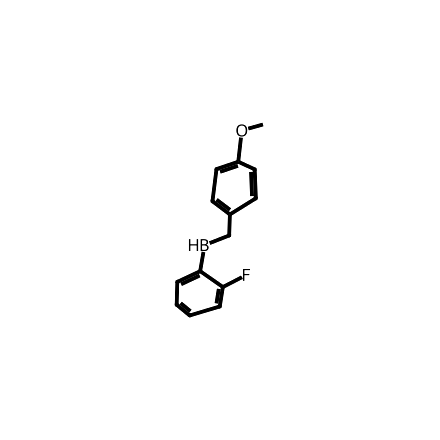 COc1ccc(CBc2ccccc2F)cc1